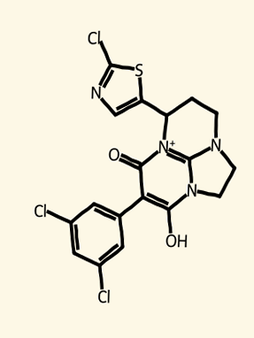 O=c1c(-c2cc(Cl)cc(Cl)c2)c(O)n2c3[n+]1C(c1cnc(Cl)s1)CCN3CC2